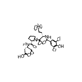 CS(=O)(=O)CC[C@H](NC(=O)c1cc(Cl)c(O)c(Cl)c1)C(=O)N1CCC[C@H]1C(=O)N[C@H](C=O)CC(=O)O